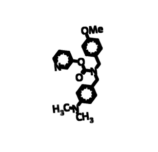 COc1ccc(CN(Cc2ccc(N(C)C)cc2)C(=O)Oc2cccnc2)cc1